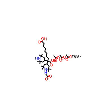 CC(=O)[O-].CC(=O)[O-].CC(=O)[O-].CC(=O)[O-].CC1(C)CC(C(CCCCCCCC(=O)O)(C(=O)O)C2CC(C)(C)NC(C)(C)C2)CC(C)(C)N1.[Zn+2].[Zn+2]